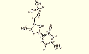 Cc1cn([C@H]2CC(O)[C@@H](COP(C)(=O)O)O2)c(=O)nc1N